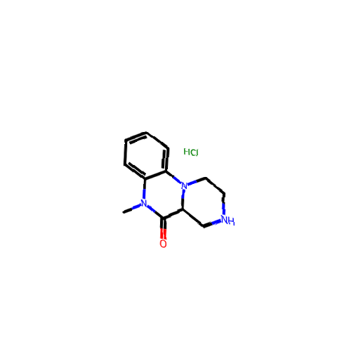 CN1C(=O)C2CNCCN2c2ccccc21.Cl